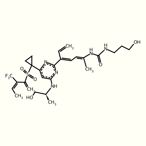 C=C/C(=C\C=C(/C)NC(=O)NCCCO)c1nc(N[C@@H](C)CO)cc(C2(S(=O)(=O)C(=C)/C(=C\C)C(F)(F)F)CC2)n1